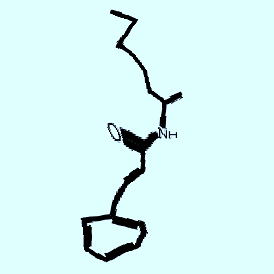 CCCCCC(C)NC(=O)C=Cc1ccccc1